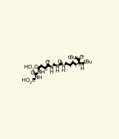 CC(C)(C)N[C@@H](CCCCNC(=O)NCNC(=O)CCC(NC(=O)NC(=O)O)C(=O)O)C(=O)C(C)(C)C